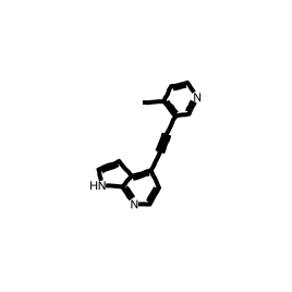 Cc1ccncc1C#Cc1ccnc2[nH]ccc12